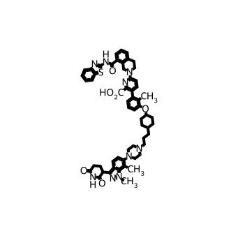 Cc1c(OC2CCC(CCCN3CCN(c4ccc5c(C6CCC(=O)NC6=O)nn(C)c5c4C)CC3)CC2)cccc1-c1ccc(N2CCc3cccc(C(=O)Nc4nc5ccccc5s4)c3C2)nc1C(=O)O